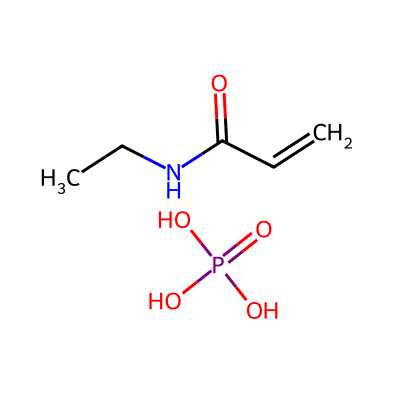 C=CC(=O)NCC.O=P(O)(O)O